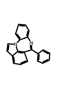 c1ccc(C2=Nc3ccccc3-n3ccc4cccc2c43)cc1